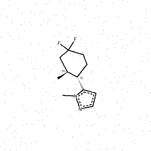 C[C@H]1CC(F)(F)CC[C@@H]1c1ccnn1C